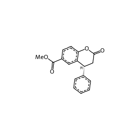 COC(=O)c1ccc2c(c1)[C@@H](c1ccccc1)CC(=O)O2